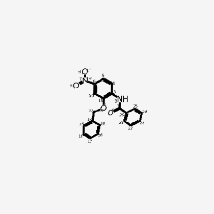 O=C(Nc1ccc([N+](=O)[O-])cc1OCc1ccccc1)c1ccccc1